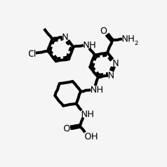 Cc1nc(Nc2cc(NC3CCCCC3NC(=O)O)nnc2C(N)=O)ccc1Cl